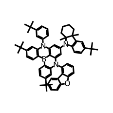 CC(C)(C)c1cccc(N2c3cc(C(C)(C)C)ccc3B3c4ccc(C(C)(C)C)cc4N(c4cccc5oc6ccccc6c45)c4cc(N5c6ccc(C(C)(C)C)cc6C6(C)CCCCC56C)cc2c43)c1